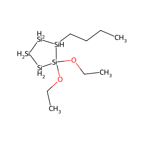 CCCC[SiH]1[SiH2][SiH2][SiH2][Si]1(OCC)OCC